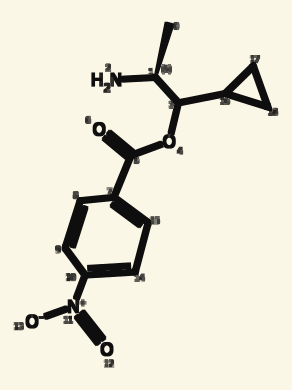 C[C@H](N)C(OC(=O)c1ccc([N+](=O)[O-])cc1)C1CC1